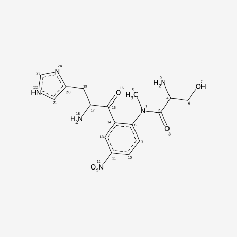 CN(C(=O)C(N)CO)c1ccc([N+](=O)[O-])cc1C(=O)C(N)Cc1c[nH]cn1